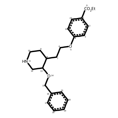 CCOC(=O)c1ccc(OCCC2CCNCC2OCc2ccccc2)cc1